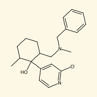 CC1CCCC(CN(C)Cc2ccccc2)C1(O)c1ccnc(Cl)c1